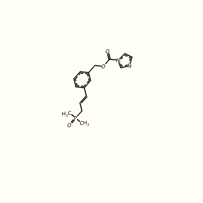 CP(C)(=O)C/C=C/c1cccc(COC(=O)n2ccnc2)c1